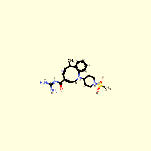 CC1/C=C\C(C(=O)N=C(N)N)=C/CN(C2CCN(S(C)(=O)=O)CC2)c2ccccc21